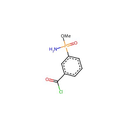 COP(N)(=O)c1cccc(C(=O)Cl)c1